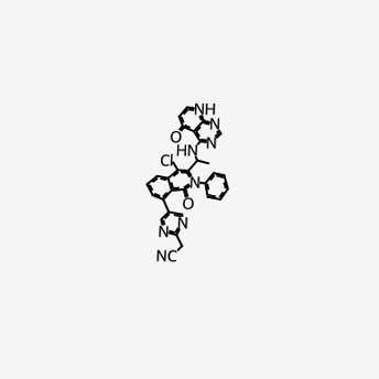 CC(Nc1ncnc2[nH]ccc(=O)c12)c1c(Cl)c2cccc(-c3cnc(CC#N)nc3)c2c(=O)n1-c1ccccc1